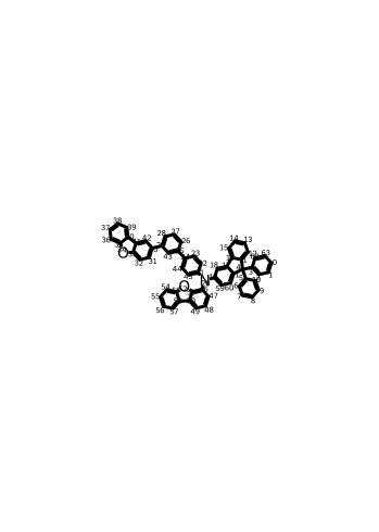 c1ccc(C2(c3ccccc3)c3ccccc3-c3cc(N(c4ccc(-c5cccc(-c6ccc7oc8ccccc8c7c6)c5)cc4)c4cccc5c4oc4ccccc45)ccc32)cc1